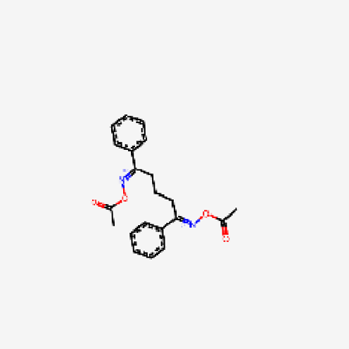 CC(=O)O/N=C(\CCC/C(=N\OC(C)=O)c1ccccc1)c1ccccc1